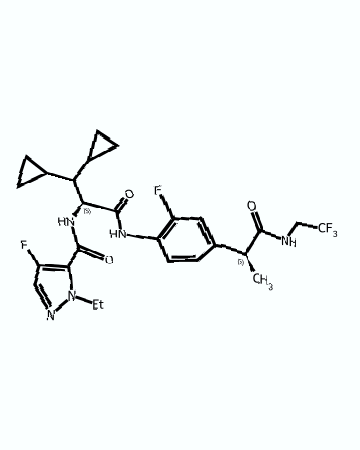 CCn1ncc(F)c1C(=O)N[C@H](C(=O)Nc1ccc([C@H](C)C(=O)NCC(F)(F)F)cc1F)C(C1CC1)C1CC1